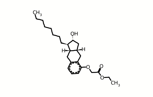 CCCCCCCC[C@@H]1[C@H]2Cc3cccc(OCC(=O)OCC)c3C[C@H]2C[C@H]1O